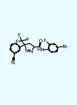 N#Cc1cccc(C2(C(F)(F)F)CC(C(=O)Nc3ccc(Br)cc3F)N=N2)c1